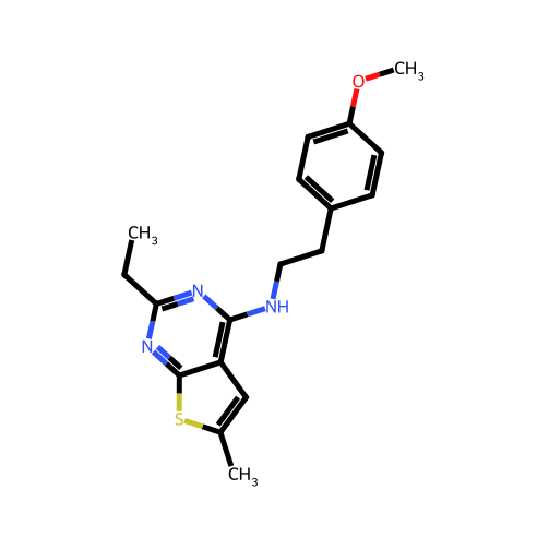 CCc1nc(NCCc2ccc(OC)cc2)c2cc(C)sc2n1